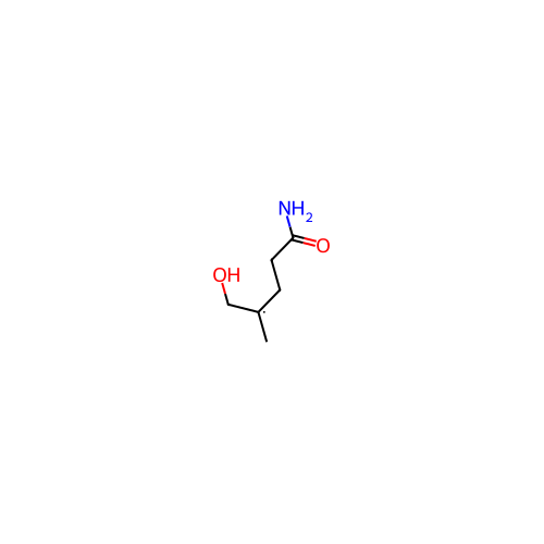 C[C](CO)CCC(N)=O